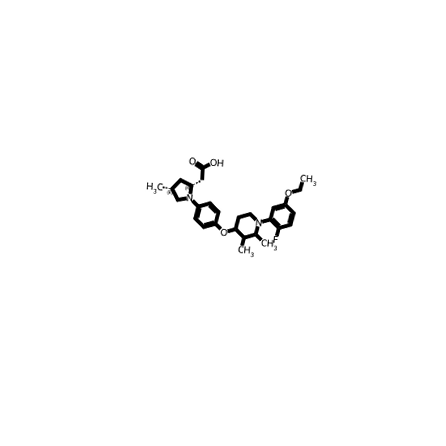 CCOc1ccc(F)c(N2CCC(Oc3ccc(N4C[C@H](C)C[C@@H]4CC(=O)O)cc3)C(C)C2C)c1